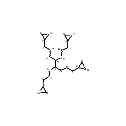 C(SSC(SSCC1CS1)C(SSCC1CS1)SSCC1CS1)C1CS1